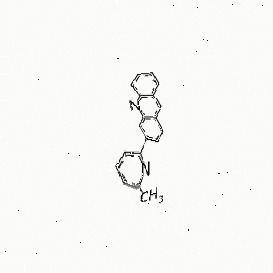 Cc1cccc(-c2ccc3cc4ccccc4nc3c2)n1